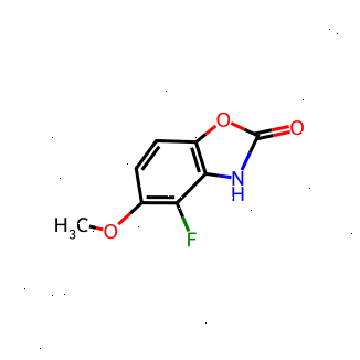 COc1ccc2oc(=O)[nH]c2c1F